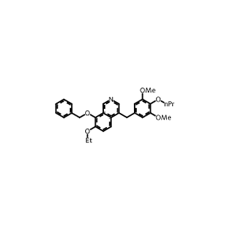 CCCOc1c(OC)cc(Cc2cncc3c(OCc4ccccc4)c(OCC)ccc23)cc1OC